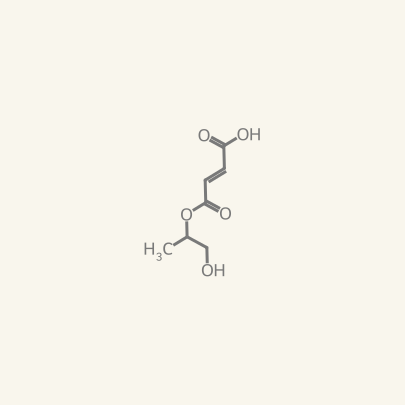 CC(CO)OC(=O)/C=C/C(=O)O